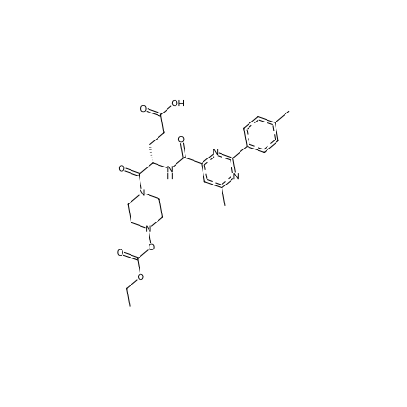 CCOC(=O)ON1CCN(C(=O)[C@H](CCC(=O)O)NC(=O)c2cc(C)nc(-c3ccc(C)cc3)n2)CC1